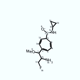 COC(C1=CC=CC([S+]([O-])NC2CC2)C=C1)C(N)CF